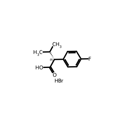 Br.CC(C)[C@@H](C(=O)O)c1ccc(F)cc1